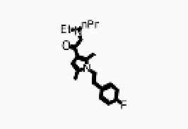 CCCN(CC)CC(=O)c1cc(C)n(CCc2ccc(F)cc2)c1C